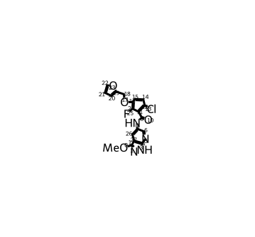 COc1n[nH]c2ncc(NC(=O)c3c(Cl)ccc(OCc4ccco4)c3F)cc12